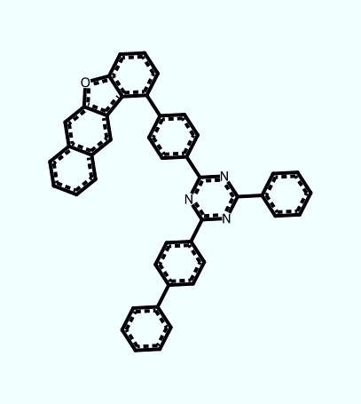 c1ccc(-c2ccc(-c3nc(-c4ccccc4)nc(-c4ccc(-c5cccc6oc7cc8ccccc8cc7c56)cc4)n3)cc2)cc1